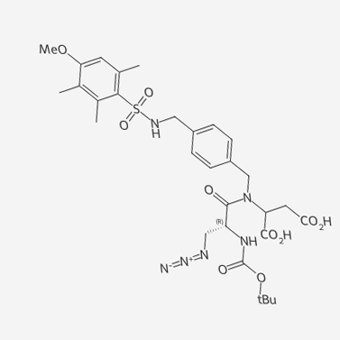 COc1cc(C)c(S(=O)(=O)NCc2ccc(CN(C(=O)[C@@H](CN=[N+]=[N-])NC(=O)OC(C)(C)C)C(CC(=O)O)C(=O)O)cc2)c(C)c1C